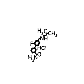 CC(C)CCNCc1ccc(-c2cccc(C(N)=O)c2)c(F)c1.Cl